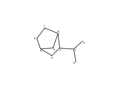 CC(C)C1CC2CC[C]1C2